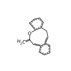 C=C1/C=c2/cccc/c2=C/Cc2ccccc2O1